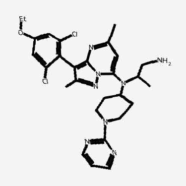 CCOc1cc(Cl)c(-c2c(C)nn3c(N(C(C)CN)C4CCN(c5ncccn5)CC4)cc(C)nc23)c(Cl)c1